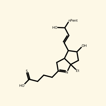 CCCCCC(O)C=CC1C(O)CC2(CC)N=C(CCCC(O)=S)CC12